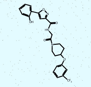 O=C(NCC(=O)N1CCC(Oc2cccc(C(F)(F)F)c2)CC1)c1cc(-c2ccccc2O)on1